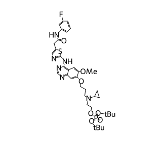 COc1cc2c(Nc3ncc(CC(=O)Nc4cccc(F)c4)s3)ncnc2cc1OCCCN(CCOP(=O)(OC(C)(C)C)OC(C)(C)C)C1CC1